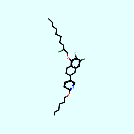 CCCCCCCCC(F)COc1c(F)c(F)cc2c1CCC(c1ccc(OCCCCCC)nc1)C2